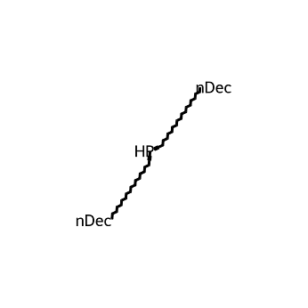 CCCCCCCCCCCCCCCCCCCCCCCCCCCC#CPC#CCCCCCCCCCCCCCCCCCCCCCCCCCCC